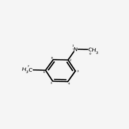 C[N]c1cccc(C)c1